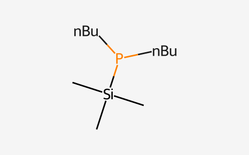 CCCCP(CCCC)[Si](C)(C)C